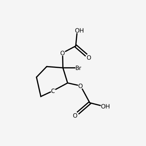 O=C(O)OC1CCCCC1(Br)OC(=O)O